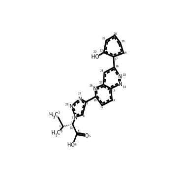 CC(C)[C@@H](C(=O)O)n1cc(-c2ccc3nnc(-c4ccccc4O)cc3n2)nn1